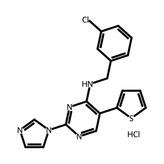 Cl.Clc1cccc(CNc2nc(-n3ccnc3)ncc2-c2cccs2)c1